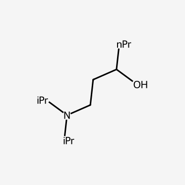 CCCC(O)CCN(C(C)C)C(C)C